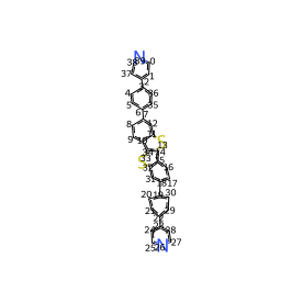 c1cc(-c2ccc(-c3ccc4c(c3)sc3c5ccc(-c6ccc(-c7ccncc7)cc6)cc5sc43)cc2)ccn1